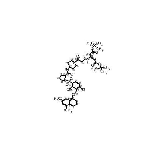 Cc1cc(C)c2cccc(OCc3c(Cl)ccc(S(=O)(=O)N4CCC[C@H]4C(=O)NC4CCN(C(=O)CCN/C(=N\C(=O)OC(C)(C)C)NC(=O)OC(C)(C)C)CC4)c3Cl)c2n1